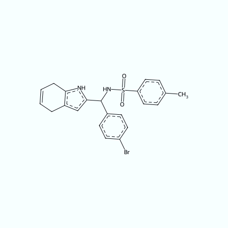 Cc1ccc(S(=O)(=O)NC(c2ccc(Br)cc2)c2cc3c([nH]2)CC=CC3)cc1